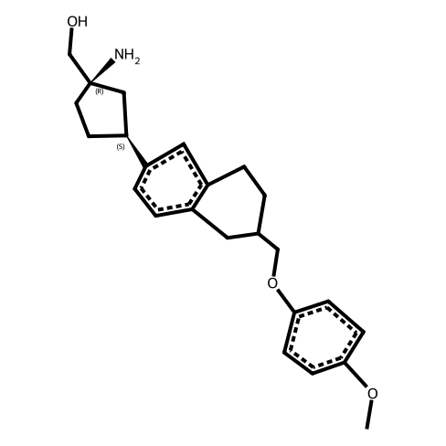 COc1ccc(OCC2CCc3cc([C@H]4CC[C@](N)(CO)C4)ccc3C2)cc1